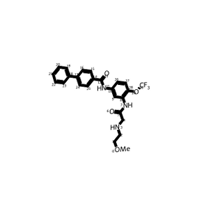 COCCNCC(=O)Nc1cc(NC(=O)c2ccc(-c3ccccc3)cc2)ccc1OC(F)(F)F